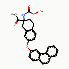 COC(=O)C1(NC(=O)OC(C)(C)C)CCc2ccc(Oc3ccc4ccc5ccccc5c4c3)cc2C1